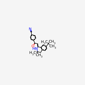 CC1(C)Cc2ccc(C(C)(C)C)cc2C(=CC(=O)c2ccc(C#N)cc2)N1